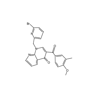 COc1ccc(C(=O)c2cn(Cc3cccc(Br)n3)c3ncccc3c2=O)cc1C